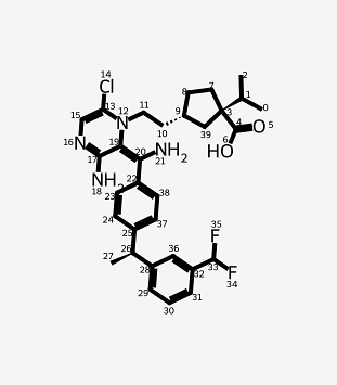 CC(C)[C@]1(C(=O)O)CC[C@@H](CCN2C(Cl)=CN=C(N)/C2=C(/N)c2ccc([C@H](C)c3cccc(C(F)F)c3)cc2)C1